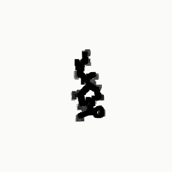 CC/N=C\N(C)C1CCN(C(C)=O)CC1